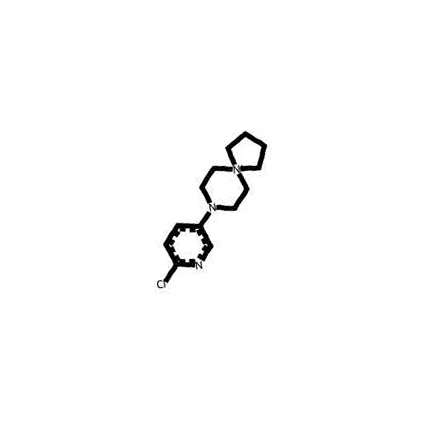 Clc1ccc(N2CC[N+]3(CCCC3)CC2)cn1